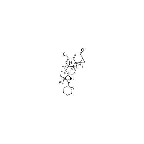 CC[C@]12CC[C@@H]3[C@@H](C=C(Cl)C4=CC(=O)C5CC5[C@]43C)[C@@H]1CC[C@]2(OC1CCCCO1)C(C)=O